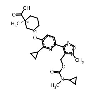 CN(C(=O)OCc1c(-c2ccc(O[C@H]3CCC[C@](C)(C(=O)O)C3)c(C3CC3)n2)nnn1C)C1CC1